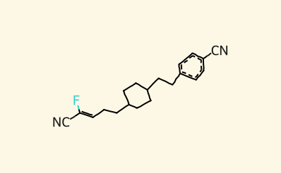 N#CC(F)=CCCC1CCC(CCc2ccc(C#N)cc2)CC1